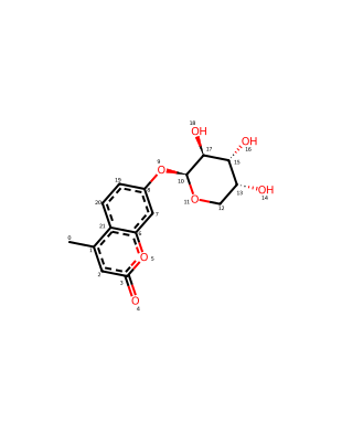 Cc1cc(=O)oc2cc(O[C@@H]3OC[C@@H](O)[C@@H](O)[C@@H]3O)ccc12